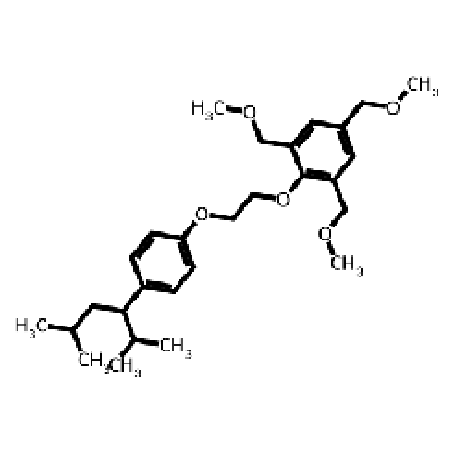 COCc1cc(COC)c(OCCOc2ccc(C(CC(C)C)C(C)C)cc2)c(COC)c1